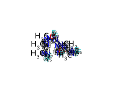 Cc1nc(-c2ccc(Cc3nc(-c4cccnc4OC(F)F)c4n3CC(C)N(c3ccc(-c5nc(C(F)(F)F)cn5C)cc3)C4)nc2OC(F)F)c2n1C[C@H](C)N(c1ccc(-c3nc(C(F)(F)F)cn3C)cc1)C2